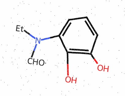 [CH2]CN([C]=O)c1cccc(O)c1O